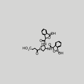 O=C(O)CCC(=O)N1CC(NC(=O)C2OB(O)c3ccccc32)C(NC(=O)C2OB(O)c3ccccc32)C1